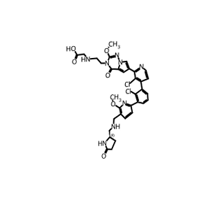 COc1nc(-c2cccc(-c3ccnc(-c4cc5c(=O)n(CCNCC(=O)O)c(OC)nn5c4)c3Cl)c2Cl)ccc1CNC[C@H]1CCC(=O)N1